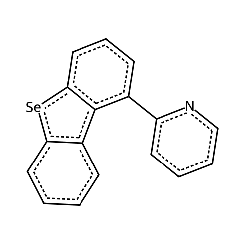 c1ccc(-c2cccc3[se]c4ccccc4c23)nc1